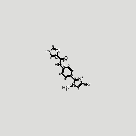 Cn1cc(Br)nc1-c1ccc(NC(=O)c2cscn2)cc1